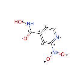 O=C(NO)c1ccnc([N+](=O)[O-])c1